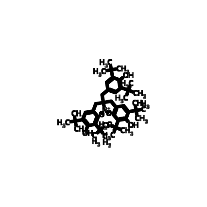 CC(C)(C)c1cc(CC(Cc2cc(C(C)(C)C)c(O)c(C(C)(C)C)c2)(Cc2cc(C(C)(C)C)c(O)c(C(C)(C)C)c2)[N+](=O)[O-])cc(C(C)(C)C)c1O